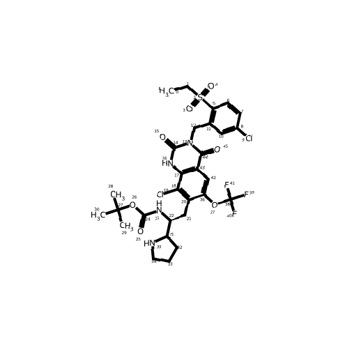 CCS(=O)(=O)c1ccc(Cl)cc1Cn1c(=O)[nH]c2c(Cl)c(C[C@H](NC(=O)OC(C)(C)C)C3CCCN3)c(OC(F)(F)F)cc2c1=O